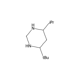 CC(C)C1CC(C(C)(C)C)NCN1